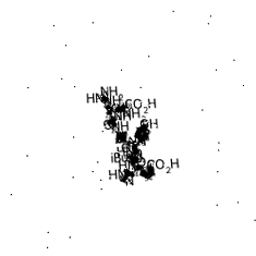 CCC(C)[C@H](NC(=O)[C@H](Cc1ccc(O)cc1)NC(=O)[C@H]1C[C@@H](CNC(=O)[C@H](CCCNC(=N)N)NC(=O)[C@@H](N)CC(=O)O)C1)C(=O)N[C@@H](Cc1c[nH]cn1)C(=O)N1CCC[C@H]1C(=O)O